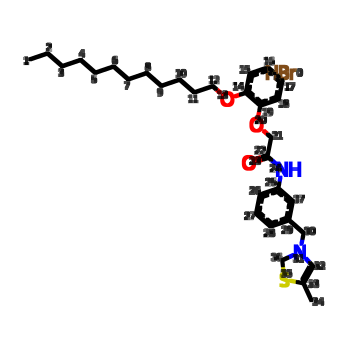 Br.CCCCCCCCCCCCOc1ccccc1OCC(=O)Nc1cccc(CN2C=C(C)SC2)c1